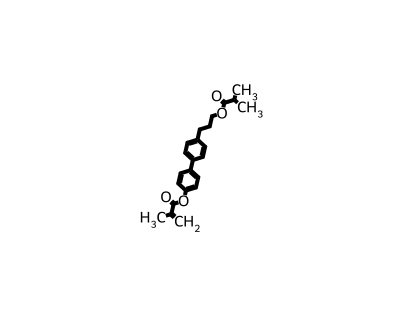 C=C(C)C(=O)Oc1ccc(-c2ccc(CCCOC(=O)C(C)C)cc2)cc1